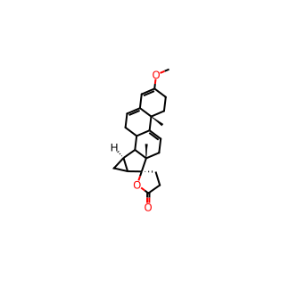 COC1=CC2=CCC3C(=CC[C@@]4(C)C3[C@@H]3CC3[C@@]43CCC(=O)O3)[C@@]2(C)CC1